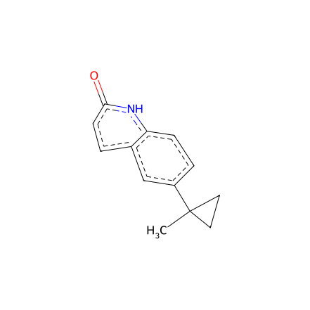 CC1(c2ccc3[nH]c(=O)ccc3c2)CC1